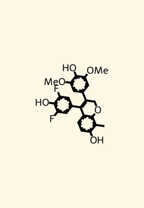 COc1cc(C2=C(c3cc(F)c(O)c(F)c3)c3ccc(O)c(C)c3OC2)cc(OC)c1O